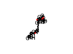 CCOc1cc(C(CS(C)(=O)=O)N2C(=O)c3cccc(NC(=O)CCCCCCCN4CCN(CC(=O)Nc5cccc(C6CCC(=O)NC6=O)c5)CC4)c3C2=O)ccc1OC